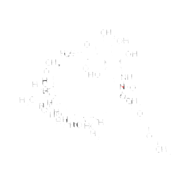 CCOCCOCCO/N=C/c1c2c(O)c3c(O)c(C)c4c(c3c1O)C(=O)[C@@](C)(O/C=C/[C@H](OC)[C@@H](C)[C@@H](OC(C)=O)[C@H](C)[C@H](O)[C@H](C)[C@@H](O)[C@@H](C)/C=C/C=C(/C)C(=O)N2)O4